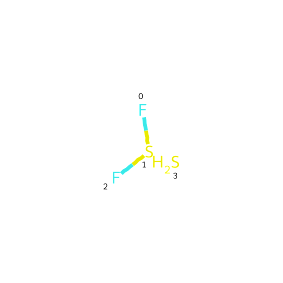 FSF.S